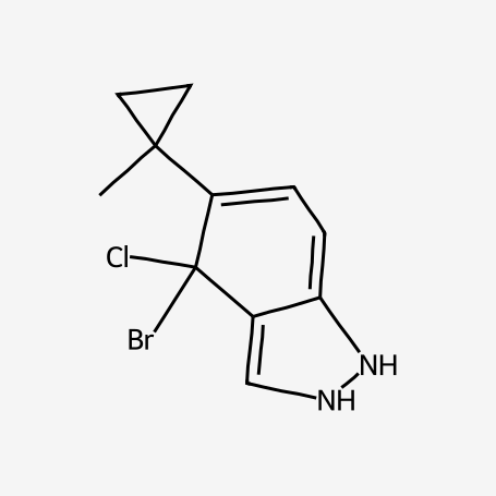 CC1(C2=CC=C3NNC=C3C2(Cl)Br)CC1